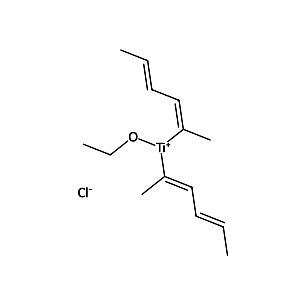 CC=CC=[C](C)[Ti+]([O]CC)[C](C)=CC=CC.[Cl-]